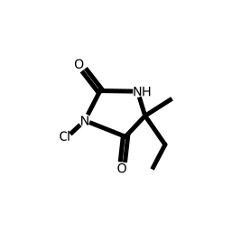 CCC1(C)NC(=O)N(Cl)C1=O